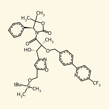 CC1(C)OC(=O)N(C(=O)[C@@](C)(OCc2ccc(-c3ccc(C(F)(F)F)cn3)cc2)[C@@H](O)c2cc(CO[Si](C)(C)C(C)(C)C)on2)[C@H]1c1ccccc1